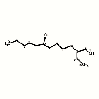 CCCCC[C@@H](O)CCCCN(CC)CC